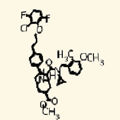 COC(=O)C1CC2CC(c3ccc(CCCOc4c(F)ccc(F)c4Cl)cc3)=C(C(=O)N(Cc3cccc(OC)c3C)C3CC3)[C@H](C1)N2